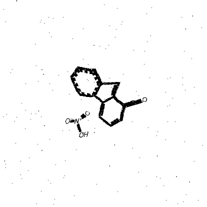 O=C1C=CC=C2C1=Cc1ccccc12.O=[N+]([O-])O